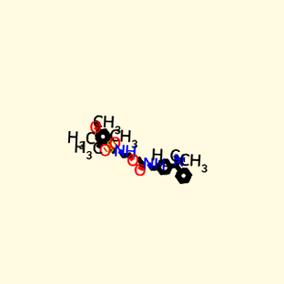 COc1cc(C)c(S(=O)(=O)CNCCOCC(=O)NCC2CCC(C(c3ccccc3)N(C)C)CC2)c(C)c1C